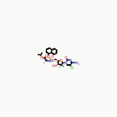 CC(C)OC(=O)[C@@H](C)N[P@](=O)(OC[C@H]1O[C@@H](n2cc(Cl)c(N)nc2=O)[C@](C)(F)[C@@H]1O)Oc1cccc2ccccc12